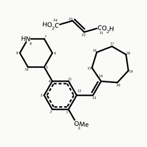 COc1ccc(C2CCNCC2)cc1C=C1CCCCCC1.O=C(O)C=CC(=O)O